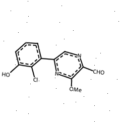 COc1nc(-c2cccc(O)c2Cl)cnc1C=O